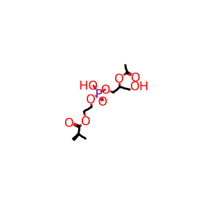 C=C(C)C(=O)OCCOP(=O)(O)OCC(CO)OC(C)=O